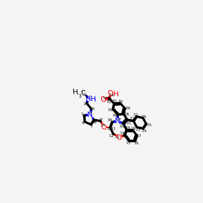 CNCCN1CCCC1CO[C@@H]1COc2ccccc2-c2c(C3CCCCC3)c3ccc(C(=O)O)cc3n2C1